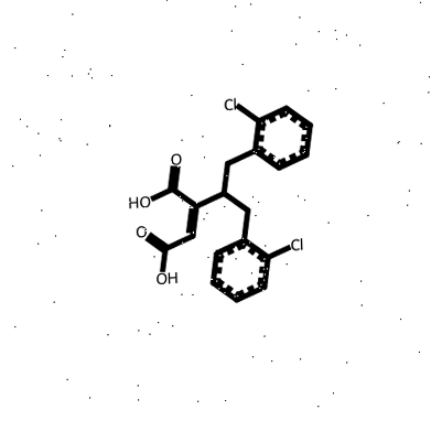 O=C(O)C=C(C(=O)O)C(Cc1ccccc1Cl)Cc1ccccc1Cl